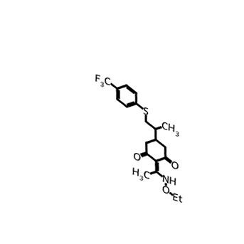 CCONC(C)=C1C(=O)CC(C(C)CSc2ccc(C(F)(F)F)cc2)CC1=O